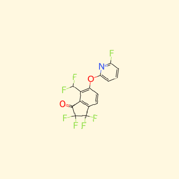 O=C1c2c(ccc(Oc3cccc(F)n3)c2C(F)F)C(F)(F)C1(F)F